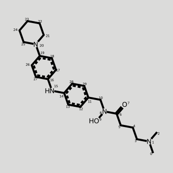 CN(C)CCCC(=O)N(O)Cc1ccc(Nc2ccc(N3CCCCC3)cc2)cc1